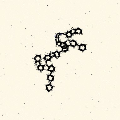 C1=C\c2oc3cccc4c3c2CC\C(=C/1)c1cc2oc3cccnc3c2cc1N4c1ccc(-c2ccccc2)cc1-c1ccc(-c2cnc3c(c2)oc2cc4c(cc23)n(-c2cccc(-c3ccc(-c5ccccc5)cc3)c2)c2cccc3oc5ccc[n+]4c5c32)cc1